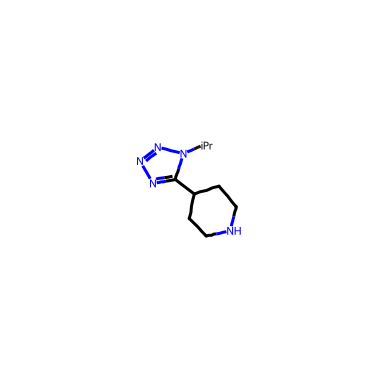 CC(C)n1nnnc1C1CCNCC1